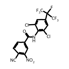 N#Cc1ccc(C(=O)Nc2c(Cl)cc(C(F)(C(F)(F)F)C(F)(F)F)cc2Cl)cc1[N+](=O)[O-]